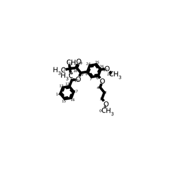 COCCCOc1cc(C(OCc2ccccc2)C(=O)C(C)(C)C)ccc1OC